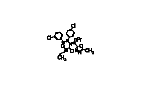 C=CC[C@H]1O[C@H](c2cccc(Cl)c2)[C@H](c2ccc(Cl)cc2)N([C@@H](CCC)c2nnc(C)o2)C1=O